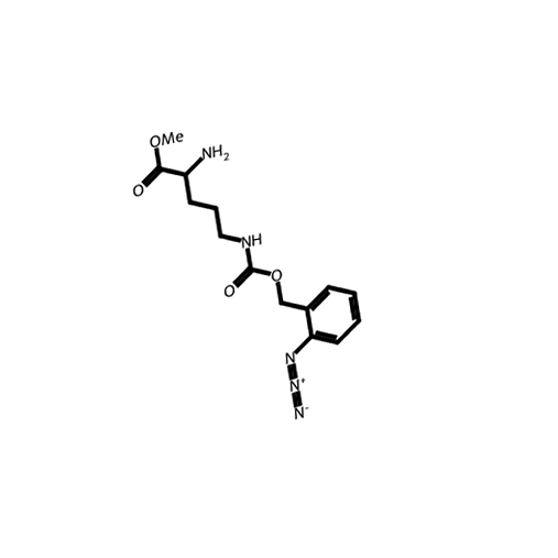 COC(=O)C(N)CCCNC(=O)OCc1ccccc1N=[N+]=[N-]